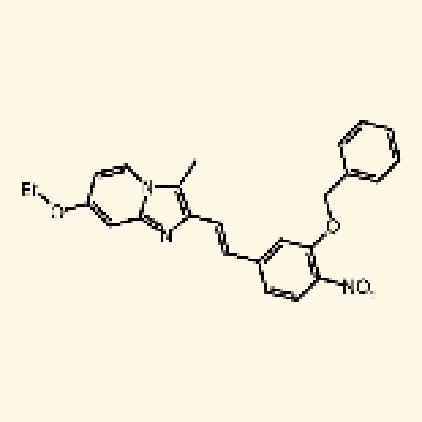 CCOc1ccn2c(C)c(C=Cc3ccc([N+](=O)[O-])c(OCc4ccccc4)c3)nc2c1